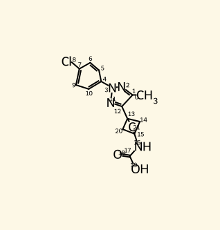 Cc1nn(-c2ccc(Cl)cc2)nc1C12CC(NC(=O)O)(C1)C2